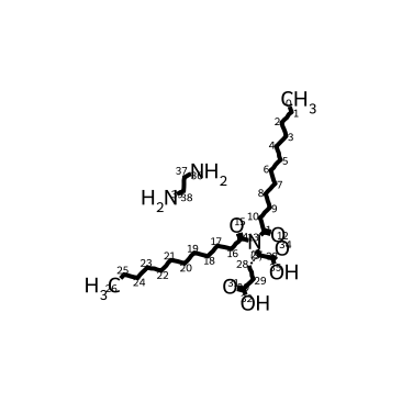 CCCCCCCCCCCC(=O)N(C(=O)CCCCCCCCCCC)[C@@H](CCC(=O)O)C(=O)O.NCCN